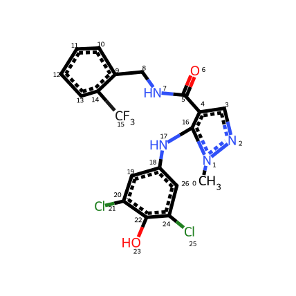 Cn1ncc(C(=O)NCc2ccccc2C(F)(F)F)c1Nc1cc(Cl)c(O)c(Cl)c1